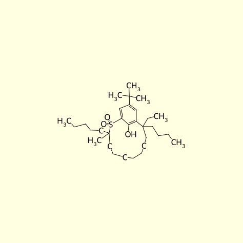 CCCCCC1(C)CCCCCCCC(CC)(CCCC)c2cc(C(C)(C)C)cc(c2O)S1(=O)=O